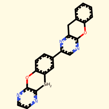 c1ccc2c(c1)Cc1nc(-c3ccc4c(c3)[SiH2]c3nccnc3O4)cnc1O2